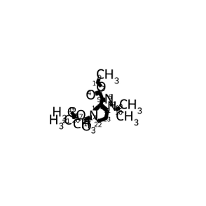 CCOC(=O)c1nn(C(C)C)c2c1CN(C(=O)OC(C)(C)C)CC2